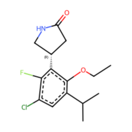 CCOc1c(C(C)C)cc(Cl)c(F)c1[C@@H]1CNC(=O)C1